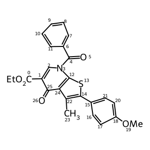 CCOC(=O)c1cn(C(=O)c2ccccc2)c2sc(-c3ccc(OC)cc3)c(C)c2c1=O